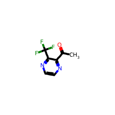 CC(=O)c1nccnc1C(F)(F)F